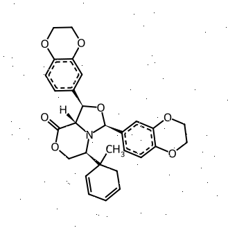 CC1([C@H]2COC(=O)[C@@H]3[C@@H](c4ccc5c(c4)OCCO5)O[C@@H](c4ccc5c(c4)OCCO5)N32)C=CC=CC1